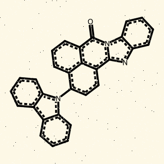 O=c1c2cccc3c(-n4c5ccccc5c5ccccc54)ccc(c32)c2nc3ccccc3n12